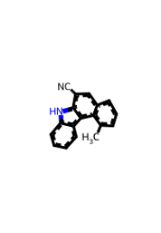 Cc1cccc2cc(C#N)c3[nH]c4ccccc4c3c12